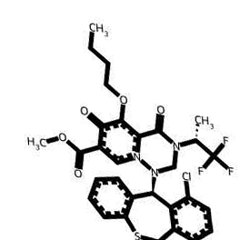 CCCCOc1c2n(cc(C(=O)OC)c1=O)N([C@@H]1c3ccccc3SCc3cccc(Cl)c31)CN([C@H](C)C(F)(F)F)C2=O